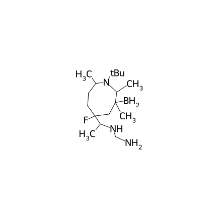 BC1(C)CC(F)(C(C)NCN)CCC(C)N(C(C)(C)C)C1C